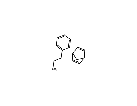 C1=CC2C=CC1C2.CCCc1ccccc1